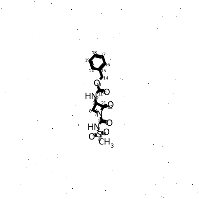 CS(=O)(=O)NC(=O)N1CC(NC(=O)OCc2ccccc2)C1=O